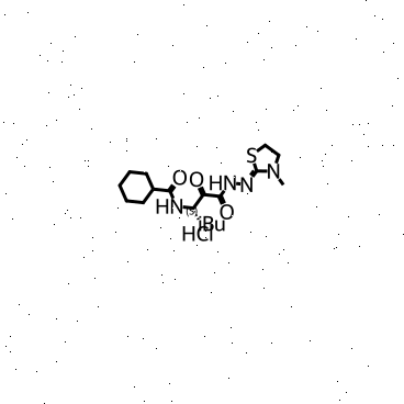 CCC(C)[C@H](NC(=O)C1CCCCC1)C(=O)C(=O)NN=C1SCCN1C.Cl